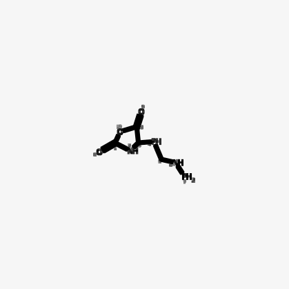 O=C1NC(PCNP)C(=O)O1